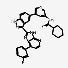 O=C(Nc1cncc(-c2ccc3[nH]nc(-c4nc5c(-c6cccc(F)c6)ccnc5[nH]4)c3c2)c1)C1CCCCC1